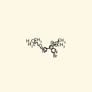 CC(C)CS(=O)(=O)n1cc(-c2cnn(COCCS(C)(C)C)c2)c2cc(Br)ncc21